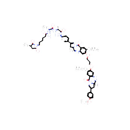 COc1cc2c(cc1OCCCOc1cc3c(cc1OC)C(=O)N1C=C(c4ccc(OC(F)(F)F)cc4)C[C@H]1C=N3)N=C[C@@H]1CC(c3ccc(NC(=O)[C@H](C)NC(=O)[C@@H](NC(=O)CCCCCN4C(=O)CC(C(C)C)C4=O)C(C)C)cc3)=CN1C2=O